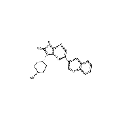 O=c1[nH]c2ncc(-c3cnc4ccccc4c3)nc2n1[C@H]1CC[C@H](O)CC1